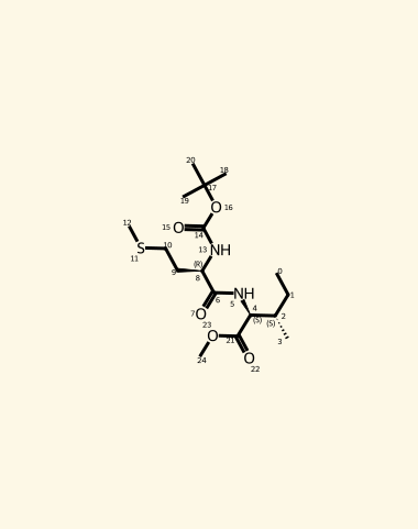 CC[C@H](C)[C@H](NC(=O)[C@@H](CCSC)NC(=O)OC(C)(C)C)C(=O)OC